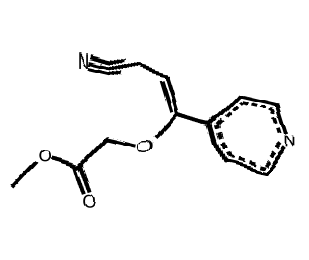 COC(=O)COC(=CC#N)c1ccncc1